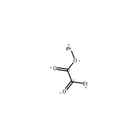 CCC(=O)C(=O)OC(C)C